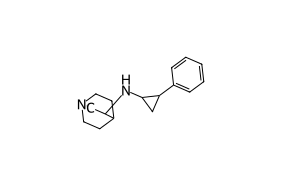 c1ccc(C2CC2NC2CN3CCC2CC3)cc1